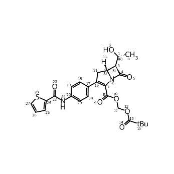 C[C@@H](O)[C@H]1C(=O)N2C(C(=O)OCOC(=O)C(C)(C)C)=C(c3ccc(NC(=O)c4cccs4)cc3)C[C@H]12